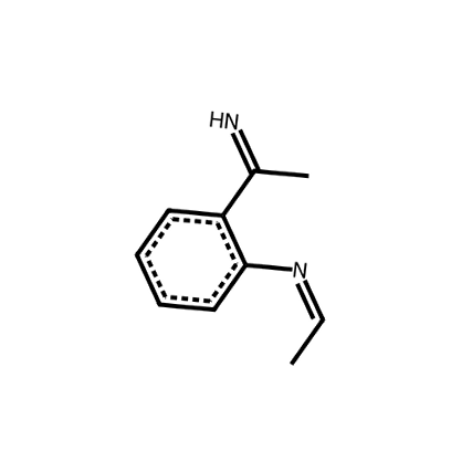 C/C=N\c1ccccc1C(C)=N